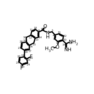 COc1cc(CNC(=O)c2ccc3c(c2)Cc2cc(-c4ccc(F)cc4F)ccc2C3)ccc1C(=N)N